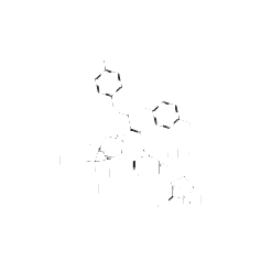 CC1(C)[C@@H]2[C@@H](C(=O)N[C@H](C=O)C[C@@H]3CCNC3=O)N(C(=O)C(Oc3ccc(Cl)cc3)Oc3ccc(Cl)cc3)C[C@@H]21